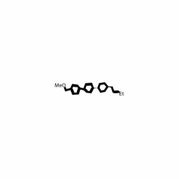 CCC=CC[C@H]1CC[C@H](c2ccc(-c3ccc(COC)cc3)cc2)CC1